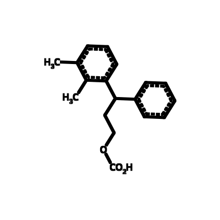 Cc1cccc(C(CCOC(=O)O)c2ccccc2)c1C